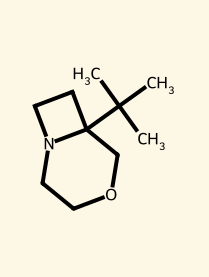 CC(C)(C)C12CCN1CCOC2